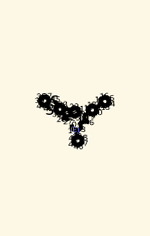 C/C=C(\CCC(C)N(c1ccc(-c2ccccc2)cc1)c1ccc2c(c1)C(C)(C)c1cc3c(cc1-2)Sc1ccccc1S3)c1ccccc1